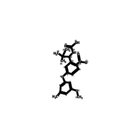 COc1cc(C)cc(Oc2ccc([N+](=O)[O-])c(C(NC(=O)O)C(C)(C)C)c2)c1